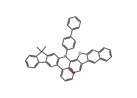 CC1(C)c2ccccc2-c2cc(-c3ccccc3)c(N(c3ccc(-c4ccccc4)cc3)c3cncc4c3oc3cc5ccccc5cc34)cc21